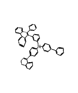 C1=C(c2ccc(N(c3ccc(-c4ccccc4)cc3)c3cccc(-c4c(-c5ccccc5)c5ccccc5c5ccccc45)c3)cc2)c2ccccc2CC1